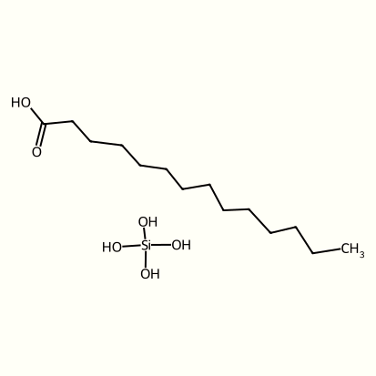 CCCCCCCCCCCCCC(=O)O.O[Si](O)(O)O